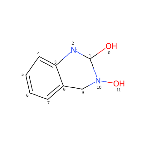 OC1[N]c2ccccc2CN1O